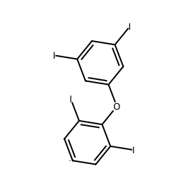 Ic1cc(I)cc(Oc2c(I)c[c]cc2I)c1